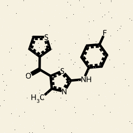 Cc1nc(Nc2ccc(F)cc2)sc1C(=O)c1ccsc1